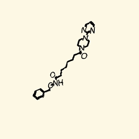 O=C(CCCCCCC(=O)N1CCN(c2ncccn2)CC1)NOCc1ccccc1